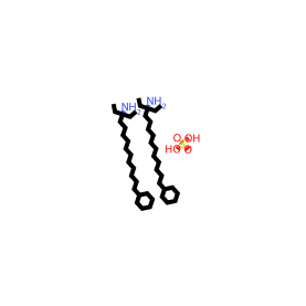 CCC(N)(CC)CCCCCCCCCCCC1CCCCC1.CCC(N)(CC)CCCCCCCCCCCC1CCCCC1.O=S(=O)(O)O